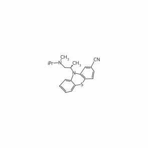 CC(C)N(C)C[C@@H](C)N1c2ccccc2Sc2ccc(C#N)cc21